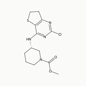 COC(=O)N1CCC[C@H](Nc2nc(Cl)nc3c2SCC3)C1